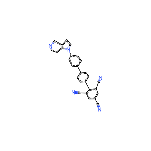 N#Cc1cc(C#N)c(-c2ccc(-c3ccc(-n4ccc5cnccc54)cc3)cc2)c(C#N)c1